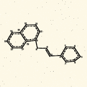 C(=Cc1ccccc1)Cc1cccc2ccccc12